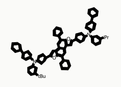 CC(C)c1cccc(N(c2ccc(-c3ccccc3)cc2)c2ccc(-c3cc4c(o3)c(-c3ccccc3)cc3c5cc(-c6ccc(N(c7ccc(-c8ccccc8)cc7)c7cccc(C(C)(C)C)c7)cc6)oc5c(-c5ccccc5)cc43)cc2)c1